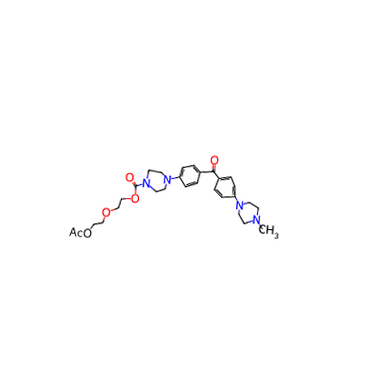 CC(=O)OCCOCCOC(=O)N1CCN(c2ccc(C(=O)c3ccc(N4CCN(C)CC4)cc3)cc2)CC1